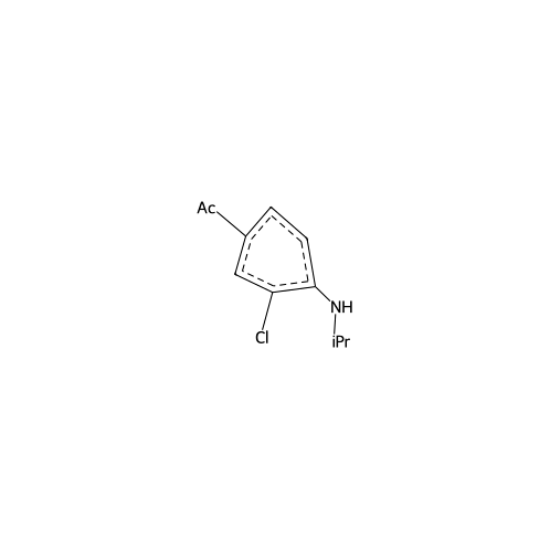 CC(=O)c1ccc(NC(C)C)c(Cl)c1